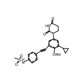 COc1c(C#Cc2ccc(NS(C)(=O)=O)cc2)cc(N2CCC(=O)NC2=O)cc1C1CC1